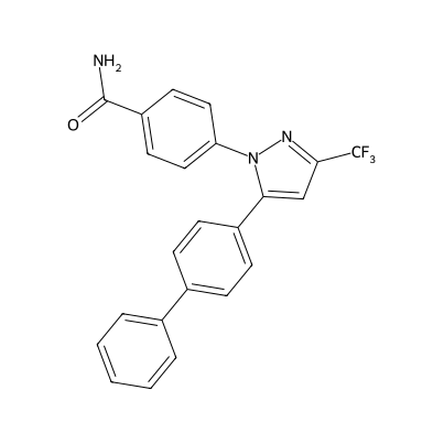 NC(=O)c1ccc(-n2nc(C(F)(F)F)cc2-c2ccc(-c3ccccc3)cc2)cc1